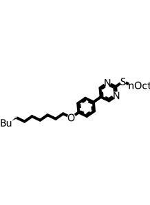 CCCCCCCCSc1ncc(-c2ccc(OCCCCCCC[C@@H](C)CC)cc2)cn1